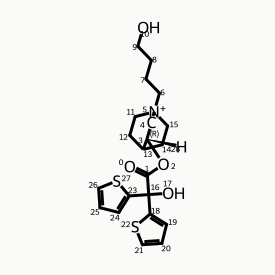 O=C(O[C@H]1C[N+]2(CCCCO)CCC1CC2)C(O)(c1cccs1)c1cccs1